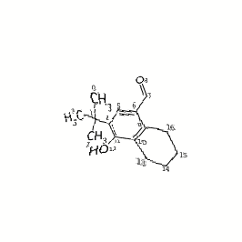 CC(C)(C)c1cc(C=O)c2c(c1O)CCCC2